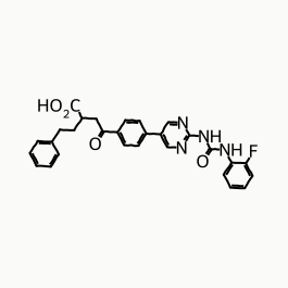 O=C(Nc1ncc(-c2ccc(C(=O)CC(CCc3ccccc3)C(=O)O)cc2)cn1)Nc1ccccc1F